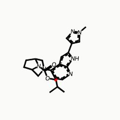 CC(C)COC(=O)N1C2CCC1CN(c1ccnc3[nH]c(-c4cnn(C)c4)cc13)C2